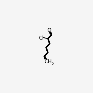 C=CCCC[C@@H](Cl)C=O